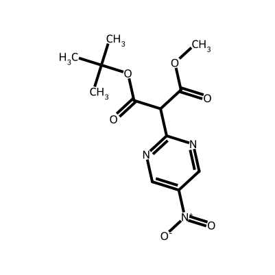 COC(=O)C(C(=O)OC(C)(C)C)c1ncc([N+](=O)[O-])cn1